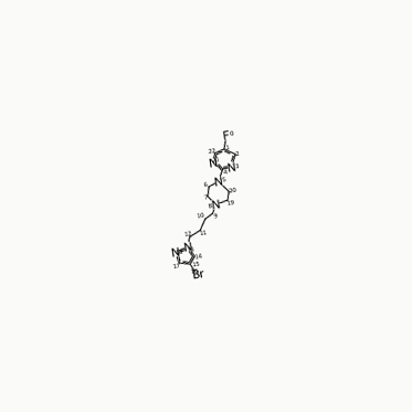 Fc1cnc(N2CCN(CCCCn3cc(Br)cn3)CC2)nc1